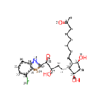 CC(=O)CCCCCC[C@@H]1[C@@H](CCC(O)C(=O)c2nc3cccc(F)c3s2)[C@H](O)C[C@@H]1O